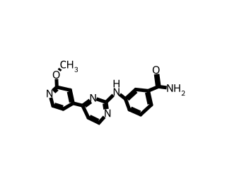 COc1cc(-c2ccnc(Nc3cccc(C(N)=O)c3)n2)ccn1